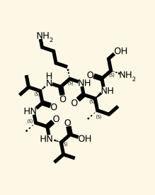 CC[C@H](C)[C@H](NC(=O)[C@@H](N)CO)C(=O)N[C@@H](CCCCN)C(=O)N[C@H](C(=O)N[C@@H](C)C(=O)N[C@H](C(=O)O)C(C)C)C(C)C